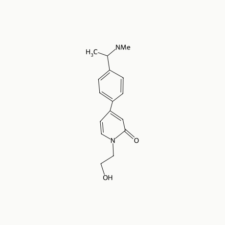 CNC(C)c1ccc(-c2ccn(CCO)c(=O)c2)cc1